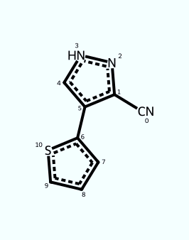 N#Cc1n[nH]cc1-c1cccs1